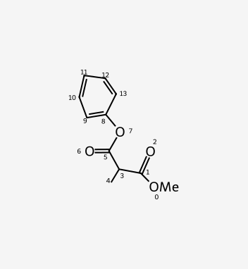 COC(=O)C(C)C(=O)Oc1ccccc1